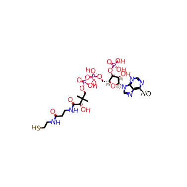 CC(C)(COP(=O)(O)OP(=O)(O)OC[C@H]1O[C@@H](n2cnc3c(N=O)ncnc32)[C@H](O)[C@@H]1OP(=O)(O)O)[C@@H](O)C(=O)NCCC(=O)NCCS